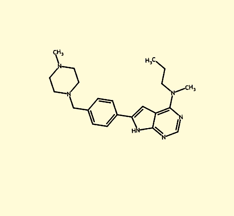 CCCN(C)c1ncnc2[nH]c(-c3ccc(CN4CCN(C)CC4)cc3)cc12